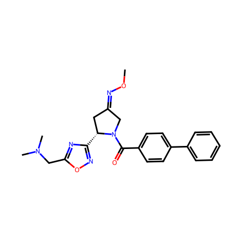 CO/N=C1/C[C@@H](c2noc(CN(C)C)n2)N(C(=O)c2ccc(-c3ccccc3)cc2)C1